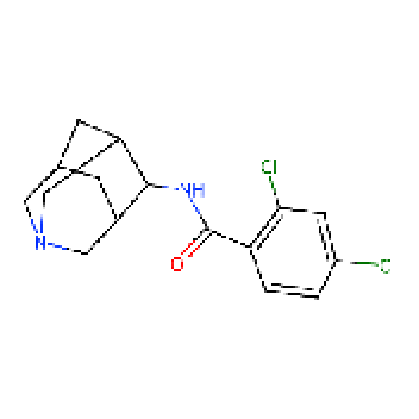 O=C(NC1C2CC3CC1CN(C3)C2)c1ccc(Cl)cc1Cl